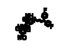 CN(C)C(=O)c1cc(Cl)c(NC(=O)CN2CCN(CCCCC(c3ccc(F)cc3)c3ccc(F)cc3)CC2C(N)=O)c(Cl)c1